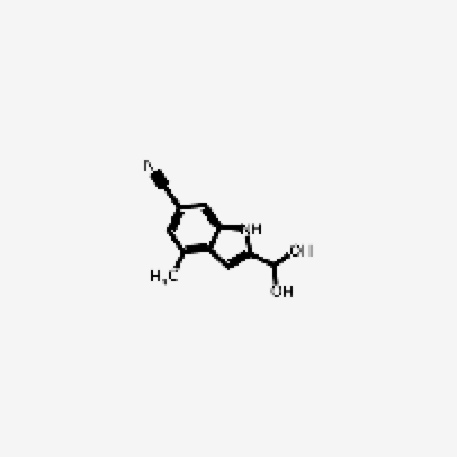 Cc1cc(C#N)cc2[nH]c(C(O)O)cc12